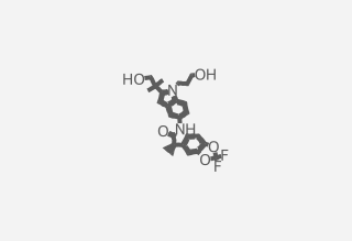 CC(C)(CO)c1cc2cc(NC(=O)C3(c4ccc5c(c4)OC(F)(F)O5)CC3)ccc2n1CCCO